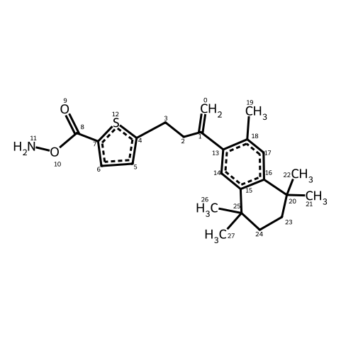 C=C(CCc1ccc(C(=O)ON)s1)c1cc2c(cc1C)C(C)(C)CCC2(C)C